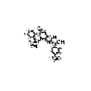 CS(=O)(=O)c1ccc(C(O)c2nc3c(Cl)c(-c4ccccc4OC(F)(F)F)c(Cl)cc3[nH]2)cc1